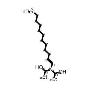 CCCCCCCCCCCCCCCCCCCC=CN(C(O)CC)C(O)CC